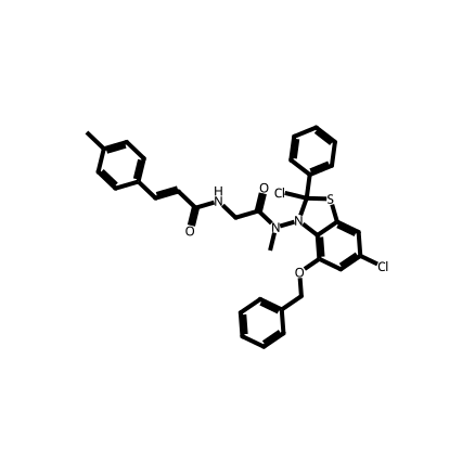 Cc1ccc(C=CC(=O)NCC(=O)N(C)N2c3c(OCc4ccccc4)cc(Cl)cc3SC2(Cl)c2ccccc2)cc1